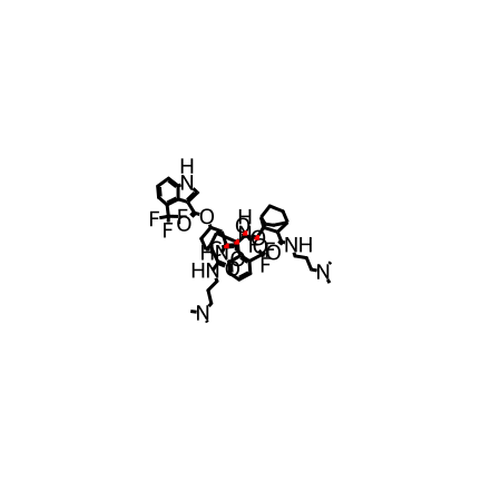 CN(C)CCCNC(=O)C1C2CCC(C(OC(=O)c3c[nH]c4cccc(C(F)(F)F)c34)C2)C1C(=O)NC(=O)C1C2CCC(CC2OC(=O)c2c[nH]c3cccc(C(F)(F)F)c23)C1C(=O)NCCCN(C)C